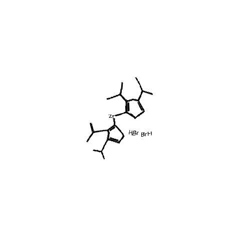 Br.Br.CC(C)C1=CC[C]([Zr][C]2=C(C(C)C)C(C(C)C)=CC2)=C1C(C)C